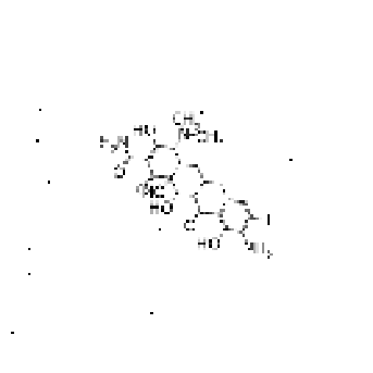 CN(C)C1C(O)=C(C(N)=O)C(=O)C2(O)C(O)C3C(=O)c4c(cc(I)c(N)c4O)CC3CC12